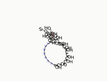 C[C@H]1C[C@H](O)[C@@H](C)/C=C/C=C/C=C/C=C/C=C/C=C/C=C/[C@H](O[C@@H]2OC[C@@H](O)[C@H](NC(=O)OCC[Si](C)(C)C)[C@@H]2O)C[C@@H]2O[C@](O)(C[C@@H](O)C[C@@H](O)[C@H](O)CC[C@@H](O)C[C@@H](O)CC(=O)O1)C[C@H](O)[C@H]2NC(=O)NCCCO